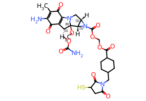 CO[C@@]12[C@H](COC(N)=O)C3=C(C(=O)C(C)=C(N)C3=O)N1C[C@H]1[C@@H]2N1C(=O)OCOC(=O)C1CCC(CN2C(=O)CC(S)C2=O)CC1